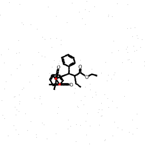 CCOC(=O)C(CC)C(c1ccccc1)n1c(=O)c2ccc(cc2)c1=O